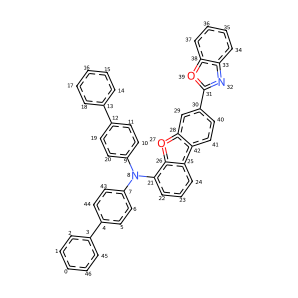 c1ccc(-c2ccc(N(c3ccc(-c4ccccc4)cc3)c3cccc4c3oc3cc(-c5nc6ccccc6o5)ccc34)cc2)cc1